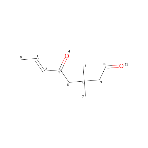 C/[C]=C/C(=O)CC(C)(C)CC=O